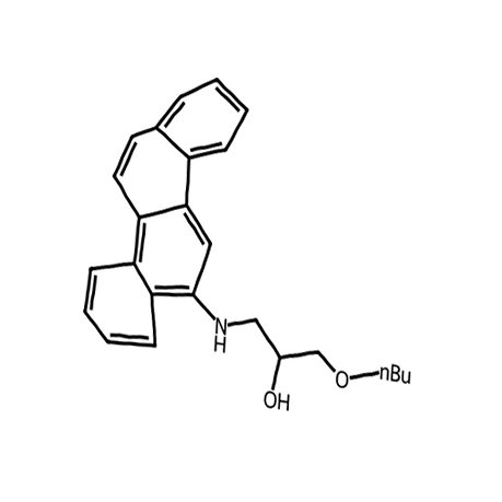 CCCCOCC(O)CNc1cc2c3ccccc3ccc2c2ccccc12